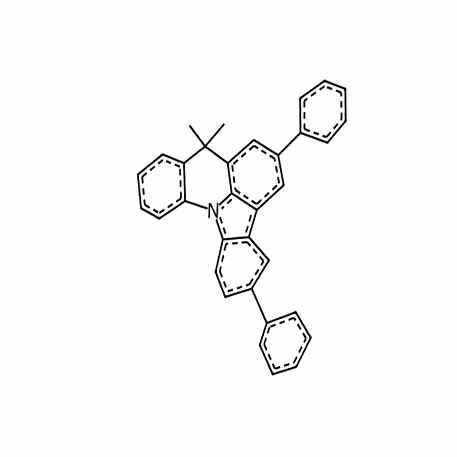 CC1(C)c2ccccc2-n2c3ccc(-c4ccccc4)cc3c3cc(-c4ccccc4)cc1c32